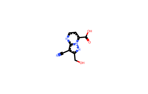 N#Cc1c(CO)nn2c(C(=O)O)ccnc12